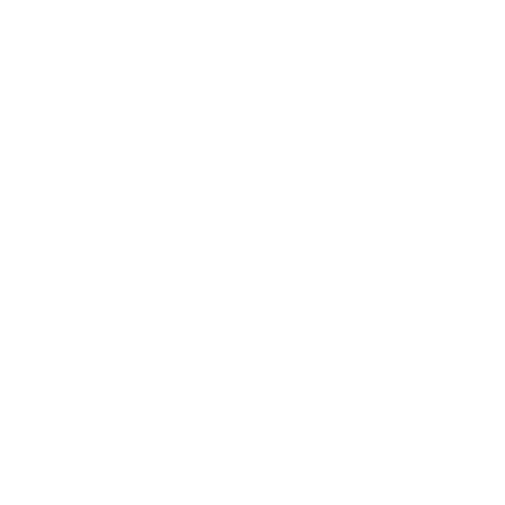 c1ccc(-c2ccc(-c3sc(-c4ccccc4-c4ccccc4)c4ccccc34)c(-c3ccccc3)c2)cc1